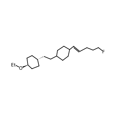 CCO[C@H]1CC[C@H](CCC2CCC(/C=C/CCCF)CC2)CC1